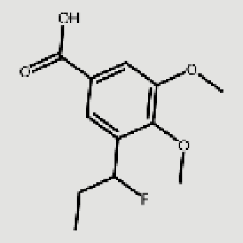 CCC(F)c1cc(C(=O)O)cc(OC)c1OC